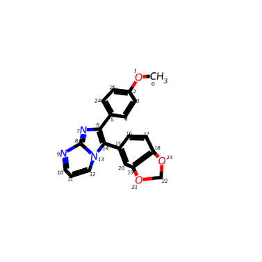 COc1ccc(-c2nc3ncccn3c2-c2ccc3c(c2)OCO3)cc1